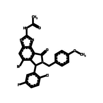 COc1ccc(CN2C(=O)c3c(c(Br)cc4sc(NC(C)=O)nc34)C2c2cc(F)ccc2Cl)cc1